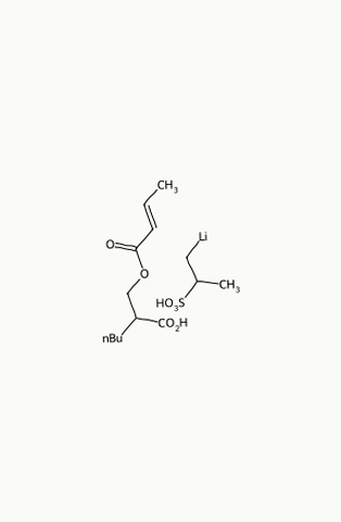 CC=CC(=O)OCC(CCCC)C(=O)O.[Li][CH2]C(C)S(=O)(=O)O